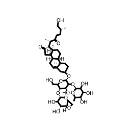 CC1O[C@@H](OC2[C@H](OC3CC[C@@]4(C)C(=CC[C@H]5[C@@H]6CC(=O)[C@H]([C@H](C)C(=O)CC[C@@H](C)CO)[C@@]6(C)CC[C@@H]54)C3)OC(CO)[C@@H](O[C@@H]3OC4CO[C@@H]4[C@H](O)C3O)[C@@H]2O)C(O)[C@@H](O)[C@H]1O